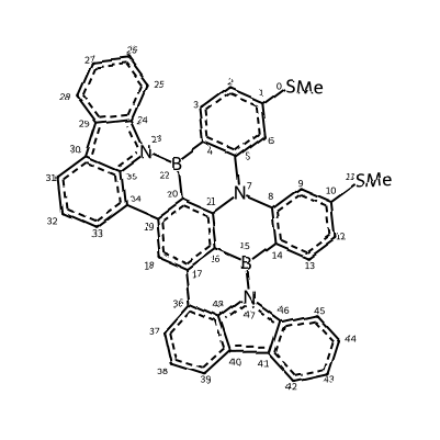 CSc1ccc2c(c1)N1c3cc(SC)ccc3B3c4c(cc5c(c41)B2n1c2ccccc2c2cccc-5c21)-c1cccc2c4ccccc4n3c12